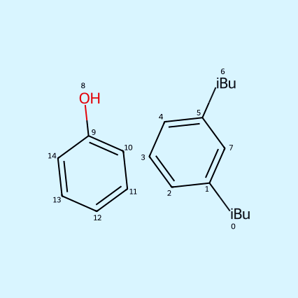 CCC(C)c1cccc(C(C)CC)c1.Oc1ccccc1